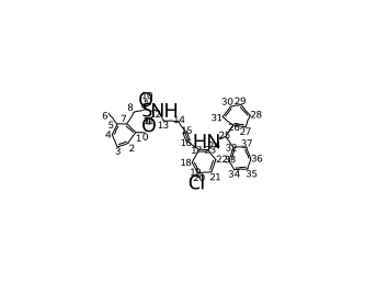 Cc1cccc(C)c1CS(=O)(=O)NCCC#Cc1cc(Cl)ccc1NC(c1ccccc1)c1ccccc1